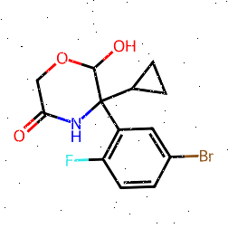 O=C1COC(O)C(c2cc(Br)ccc2F)(C2CC2)N1